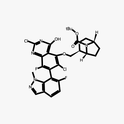 Cn1ncc2ccc(F)c(-c3c(Cl)c(OC[C@H]4NC[C@@H]5CC[C@H]4N5C(=O)OC(C)(C)C)c4c(O)nc(Cl)nc4c3F)c21